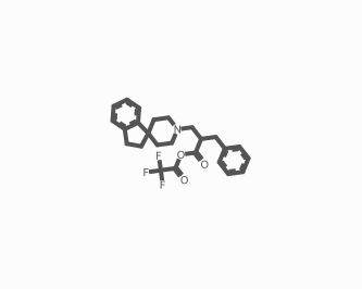 O=C(OC(=O)C(F)(F)F)C(Cc1ccccc1)CN1CCC2(CCc3ccccc32)CC1